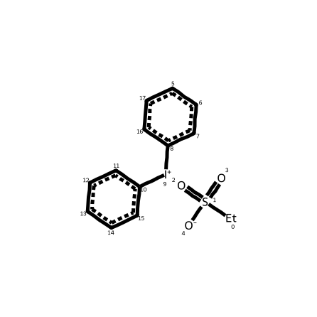 CCS(=O)(=O)[O-].c1ccc([I+]c2ccccc2)cc1